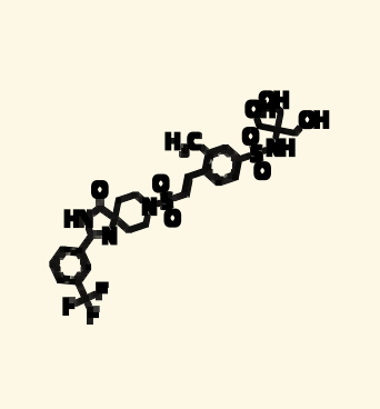 Cc1cc(S(=O)(=O)NC(CO)(CO)CO)ccc1/C=C/S(=O)(=O)N1CCC2(CC1)N=C(c1cccc(C(F)(F)F)c1)NC2=O